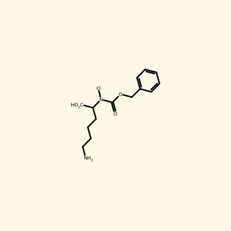 NCCCCC(C(=O)O)N(Cl)C(=O)OCc1ccccc1